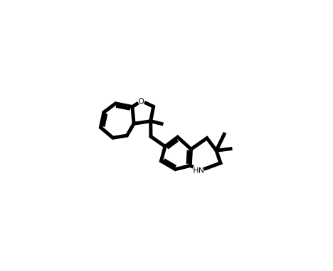 CC1(C)CNc2ccc(CC3(C)COC4=CC=CCCC43)cc2C1